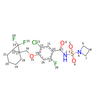 O=C(NS(=O)(=O)N1CCC1)c1cc(Cl)c(OCC23CCCCC2C3(F)F)cc1F